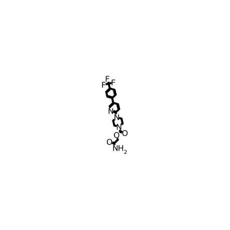 NC(=O)COC(=O)N1CCN(c2ccc(-c3ccc(C(F)(F)F)cc3)cn2)CC1